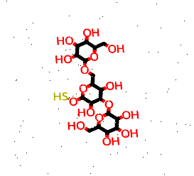 OCC1OC(OCC2OC(OS)C(O)C(OC3OC(CO)C(O)C(O)C3O)C2O)C(O)C(O)C1O